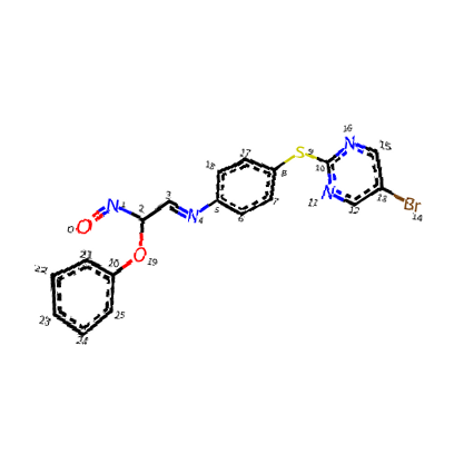 O=NC(C=Nc1ccc(Sc2ncc(Br)cn2)cc1)Oc1ccccc1